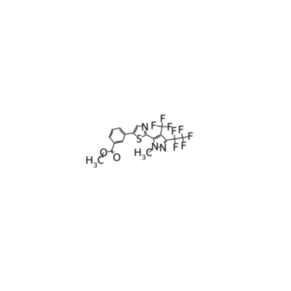 COC(=O)c1cccc(-c2cnc(-c3c(C(F)(F)F)c(C(F)(F)C(F)(F)F)nn3C)s2)c1